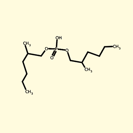 CCCCC(C)COP(=O)(O)OCC(C)CCCC